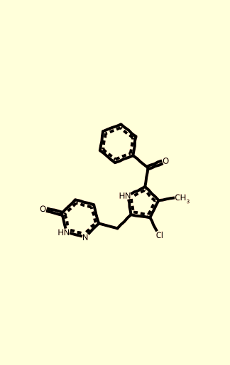 Cc1c(C(=O)c2ccccc2)[nH]c(Cc2ccc(=O)[nH]n2)c1Cl